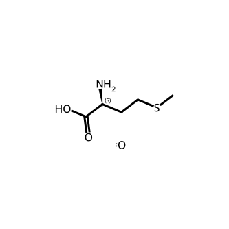 CSCC[C@H](N)C(=O)O.[O]